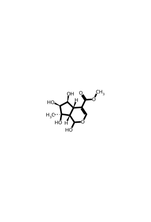 COC(=O)C1=COC(O)[C@H]2[C@@H]1[C@H](O)[C@H](O)[C@]2(C)O